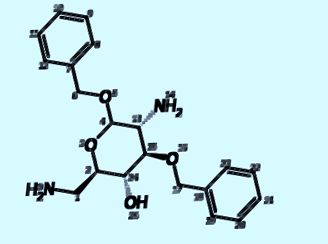 NC[C@H]1OC(OCc2ccccc2)[C@H](N)[C@@H](OCc2ccccc2)[C@@H]1O